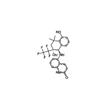 CC1(C)C[C@](O)(C(F)(F)C(F)(F)F)[C@H](Nc2cccc3[nH]c(=O)ccc23)c2cccc(O)c21